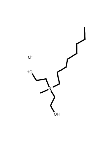 CCCCCCCC[N+](C)(CCO)CCO.[Cl-]